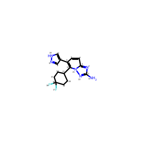 Nc1nc2ccc(-c3cn[nH]c3)c(C3CCC(F)(F)CC3)n2n1